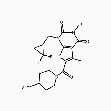 CCn1c(=O)c2c(C)c(C(=O)N3CCC(OC(C)=O)CC3)sc2n(CC2CC2(F)F)c1=O